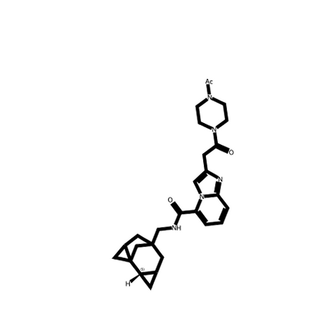 CC(=O)N1CCN(C(=O)Cc2cn3c(C(=O)NCC45CC6C[C@@H]6C6(CC6C4)C5)cccc3n2)CC1